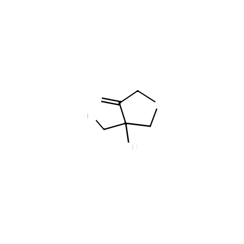 CC1(CO)CSCC1=O